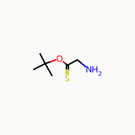 CC(C)(C)OC(=S)CN